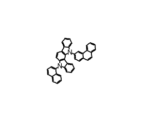 c1ccc2c(-n3c4ccccc4c4c3ccc3c5ccccc5n(-c5ccc6ccc7ccccc7c6c5)c34)cccc2c1